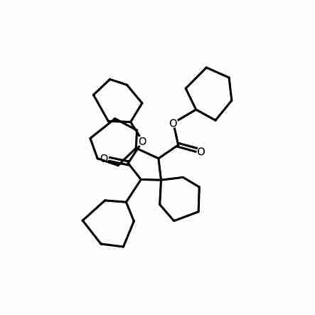 O=C(OC1CCCCC1)C(C1CCCCC1)C1(C(C(=O)OC2CCCCC2)C2CCCCC2)CCCCC1